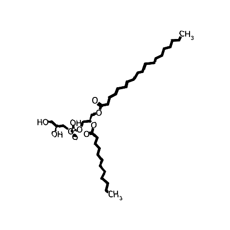 CCCCCCCCCCCCCCCCCCC(=O)OC[C@H](COP(=O)(O)OC[C@@H](O)CO)OC(=O)CCCCCCCCCCC